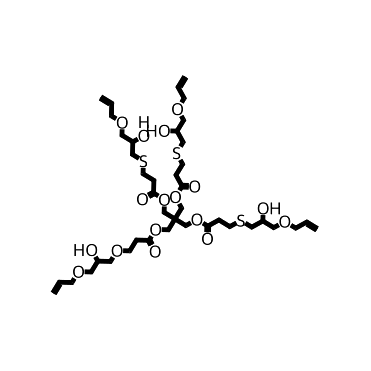 C=CCOCC(O)COCCC(=O)OCC(COC(=O)CCSCC(O)COCC=C)(COC(=O)CCSCC(O)COCC=C)COC(=O)CCSCC(O)COCC=C